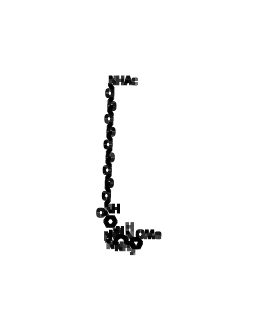 COc1cccc2cc(-c3nc([C@H]4CC[C@H](C(=O)NCCOCCOCCOCCOCCOCCOCCOCCOCCOCCNC(C)=O)CC4)n4ncnc(N)c34)[nH]c12